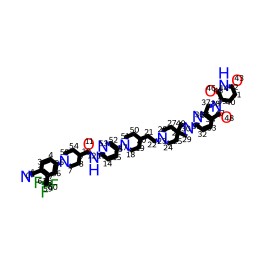 N#Cc1ccc(N2CCC(C(=O)Nc3ccc(N4CCC(CCN5CCC6(CC5)CN(c5ccc7c(n5)CN(C5CCC(=O)NC5=O)C7=O)C6)CC4)cn3)CC2)cc1C(F)(F)F